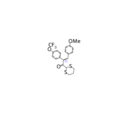 COc1ccc(/C=C(/C(=O)C2SCCCS2)c2ccc(OC(F)(F)F)cc2)cc1